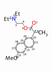 CCN(CC)CCOC(=O)C(C)c1ccc2cc(OC)ccc2c1